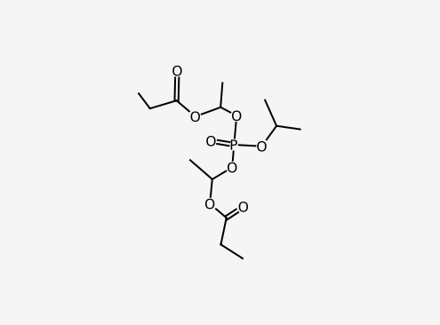 CCC(=O)OC(C)OP(=O)(OC(C)C)OC(C)OC(=O)CC